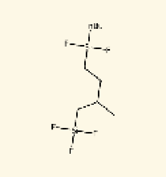 CCCC[Si](F)(F)CCC(C)C[Si](F)(F)F